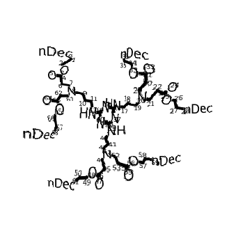 CCCCCCCCCCCCOC(=O)CCN(CCCNc1nc(NCCCN(CCC(=O)OCCCCCCCCCCCC)CCC(=O)OCCCCCCCCCCCC)nc(NCCCN(CCC(=O)OCCCCCCCCCCCC)CCC(=O)OCCCCCCCCCCCC)n1)CCC(=O)OCCCCCCCCCCCC